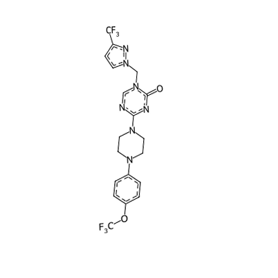 O=c1nc(N2CCN(c3ccc(OC(F)(F)F)cc3)CC2)ncn1Cn1ccc(C(F)(F)F)n1